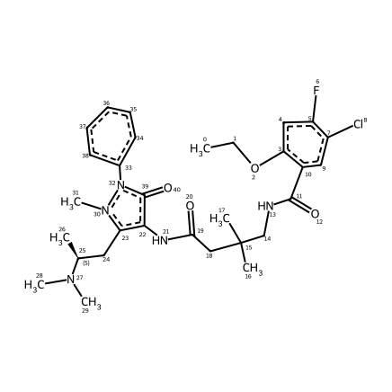 CCOc1cc(F)c(Cl)cc1C(=O)NCC(C)(C)CC(=O)Nc1c(C[C@H](C)N(C)C)n(C)n(-c2ccccc2)c1=O